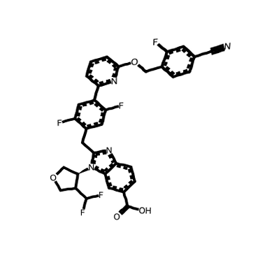 N#Cc1ccc(COc2cccc(-c3cc(F)c(Cc4nc5ccc(C(=O)O)cc5n4[C@@H]4COCC4C(F)F)cc3F)n2)c(F)c1